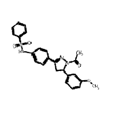 COc1cccc(C2CC(c3ccc(NS(=O)(=O)c4ccccc4)cc3)=NN2C(C)=O)c1